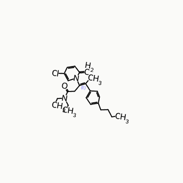 C=C1C=CC(Cl)=CN1/C(CC(=O)N(CC)CC)=C(\C)c1ccc(CCCC)cc1